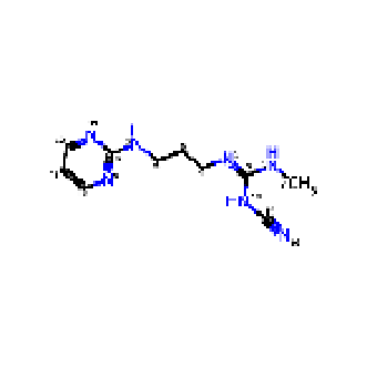 CNC(=NCCCNc1ncccn1)NC#N